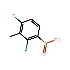 Cc1c(F)ccc(S(=O)O)c1F